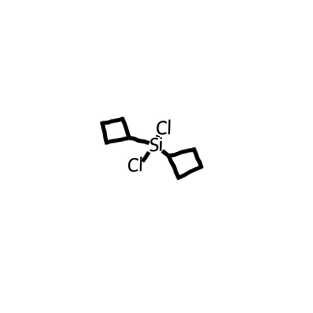 Cl[Si](Cl)(C1CCC1)C1CCC1